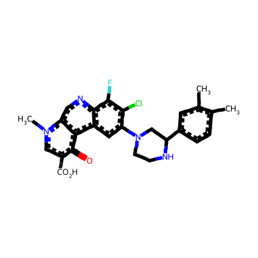 Cc1ccc(C2CN(c3cc4c(ncc5c4c(=O)c(C(=O)O)cn5C)c(F)c3Cl)CCN2)cc1C